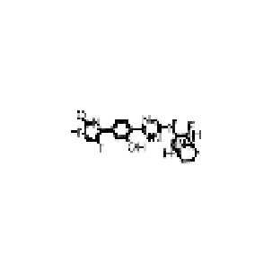 CN(c1cnc(-c2ccc(-c3nc(=O)n(C)cc3F)cc2O)nn1)[C@H]1C[C@@H]2CCC[C@@H](N2)[C@H]1F